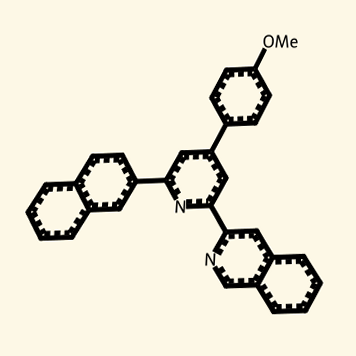 COc1ccc(-c2cc(-c3ccc4ccccc4c3)nc(-c3cc4ccccc4cn3)c2)cc1